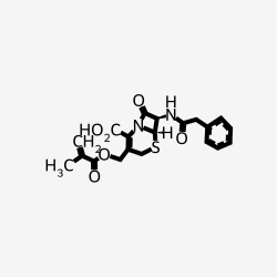 C=C(C)C(=O)OCC1=C(C(=O)O)N2C(=O)[C@@H](NC(=O)Cc3ccccc3)[C@H]2SC1